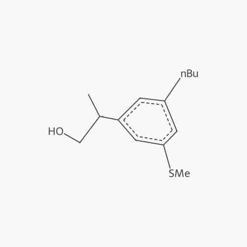 CCCCc1cc(SC)cc([C](C)CO)c1